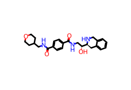 O=C(NCC1CCOCC1)c1ccc(C(=O)NC[C@@H](O)[C@@H]2Cc3ccccc3CN2)cc1